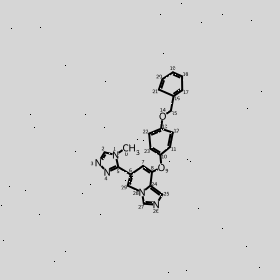 Cn1cnnc1-c1cc(Oc2ccc(OCc3ccccc3)cc2)c2cncn2c1